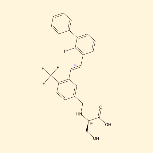 O=C(O)[C@@H](CO)NCc1ccc(C(F)(F)F)c(/C=C/c2cccc(-c3ccccc3)c2F)c1